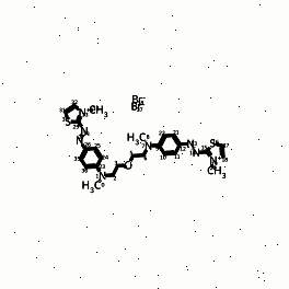 CN(CCOCCN(C)c1ccc(N=Nc2scc[n+]2C)cc1)c1ccc(N=Nc2scc[n+]2C)cc1.[Br-].[Br-]